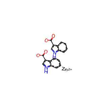 O=C([O-])c1c[nH]c2ccccc12.O=C([O-])c1c[nH]c2ccccc12.[Zn+2]